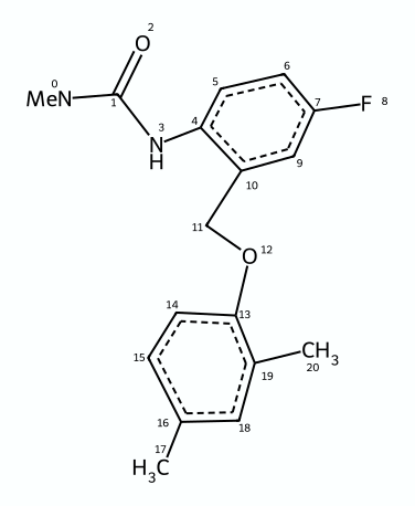 CNC(=O)Nc1ccc(F)cc1COc1ccc(C)cc1C